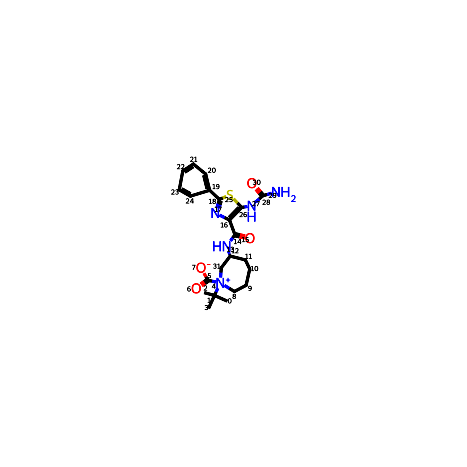 CC(C)(C)[N+]1(C(=O)[O-])CCCC[C@H](NC(=O)c2nc(-c3ccccc3)sc2NC(N)=O)C1